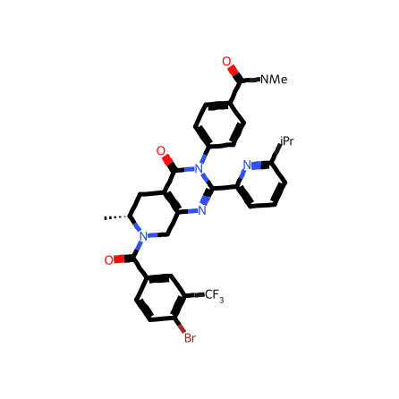 CNC(=O)c1ccc(-n2c(-c3cccc(C(C)C)n3)nc3c(c2=O)C[C@@H](C)N(C(=O)c2ccc(Br)c(C(F)(F)F)c2)C3)cc1